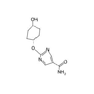 NC(=O)c1cnc(OC2CCC(O)CC2)nc1